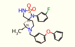 C[C@H]1C[C@]2(CCN1Cc1cccc(Oc3ccccc3)c1)CNS(=O)(=O)N2c1cccc(F)c1